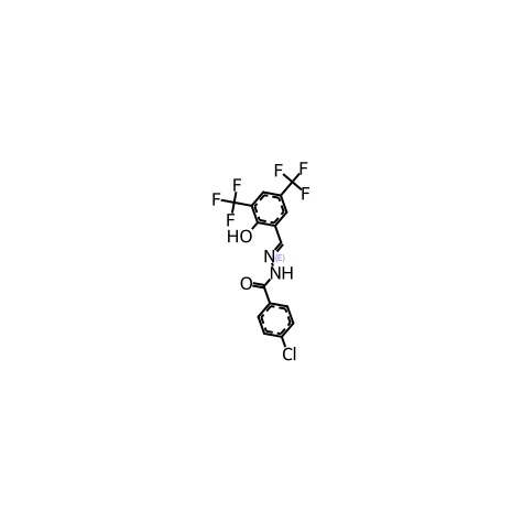 O=C(N/N=C/c1cc(C(F)(F)F)cc(C(F)(F)F)c1O)c1ccc(Cl)cc1